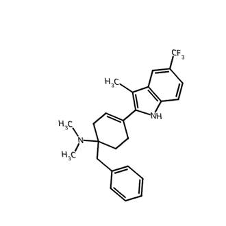 Cc1c(C2=CCC(Cc3ccccc3)(N(C)C)CC2)[nH]c2ccc(C(F)(F)F)cc12